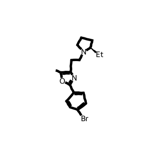 CC[C@@H]1CCCN1CCc1nc(-c2ccc(Br)cc2)oc1C